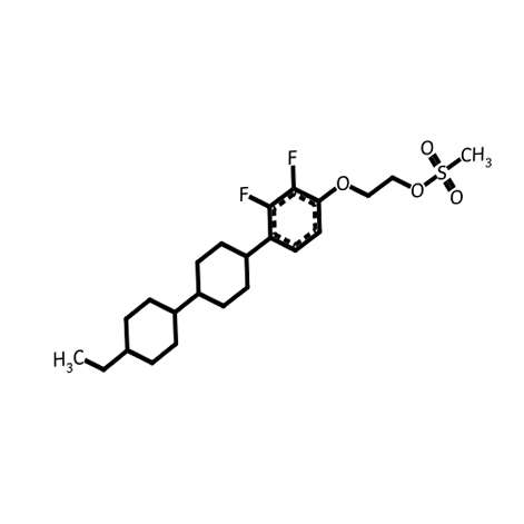 CCC1CCC(C2CCC(c3ccc(OCCOS(C)(=O)=O)c(F)c3F)CC2)CC1